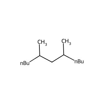 CCCCC(C)CC(C)CCCC